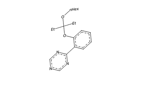 CCCCCCOC(CC)(CC)Oc1ccccc1-c1ncncn1